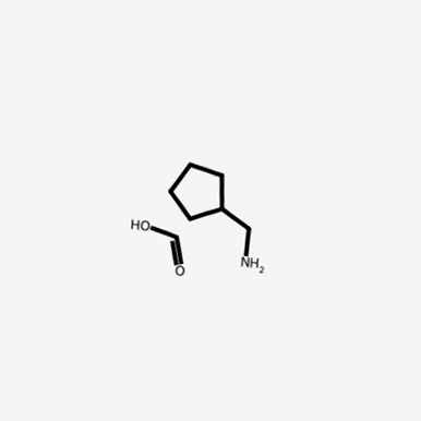 NCC1CCCC1.O=CO